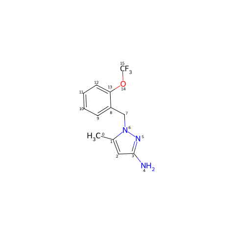 Cc1cc(N)nn1Cc1ccccc1OC(F)(F)F